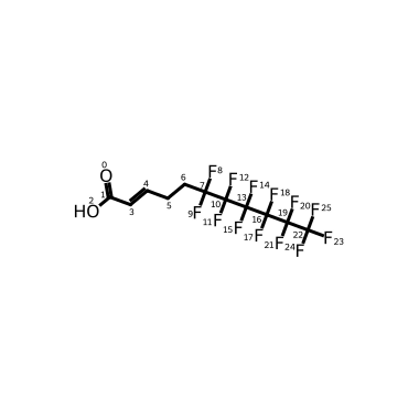 O=C(O)C=CCCC(F)(F)C(F)(F)C(F)(F)C(F)(F)C(F)(F)C(F)(F)F